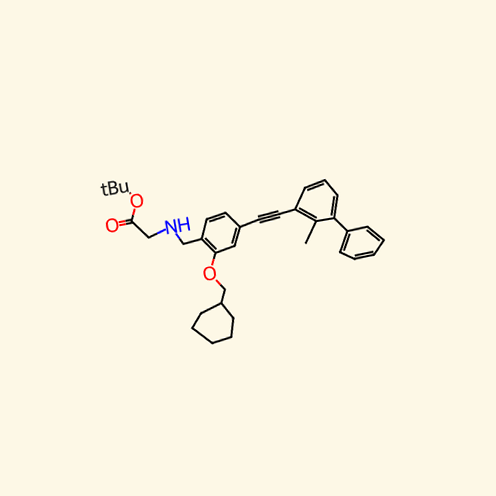 Cc1c(C#Cc2ccc(CNCC(=O)OC(C)(C)C)c(OCC3CCCCC3)c2)cccc1-c1ccccc1